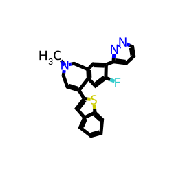 CN1CC=C(c2cc3ccccc3s2)c2cc(F)c(-c3cccnn3)cc2C1